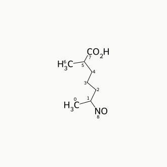 CC(CCCC(C)C(=O)O)N=O